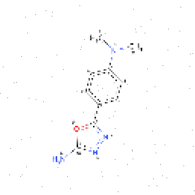 CN(C)c1ccc(-c2nnc(N)o2)cc1